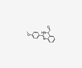 COc1ccc(C2=Nc3ccccc3C(C=O)N2)cc1